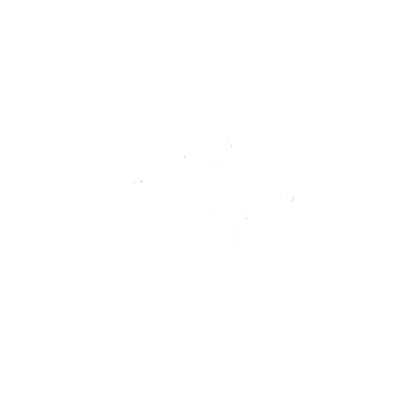 O=C1CCC(N2Cc3cc(O[C@H]4CN(Cc5ccccn5)CC[C@@H]4NCc4ccccc4)ccc3C2=O)C(=O)N1